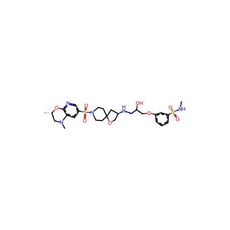 CNS(=O)(=O)c1cccc(OCC(O)CN[C@H]2COC3(CCN(S(=O)(=O)c4cnc5c(c4)N(C)C[C@H](C)O5)CC3)C2)c1